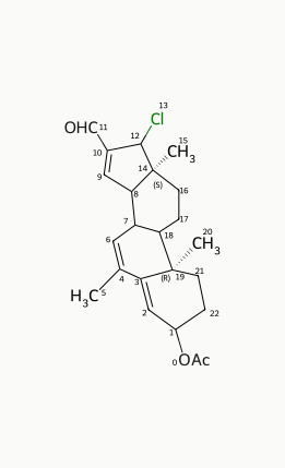 CC(=O)OC1C=C2C(C)=CC3C4C=C(C=O)C(Cl)[C@@]4(C)CCC3[C@@]2(C)CC1